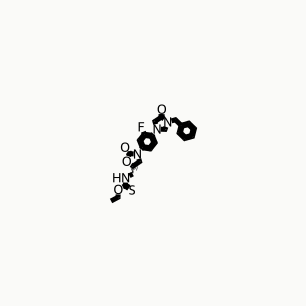 CCOC(=S)NC[C@H]1CN(c2ccc(N3CC(=O)N(Cc4ccccc4)C3)c(F)c2)C(=O)O1